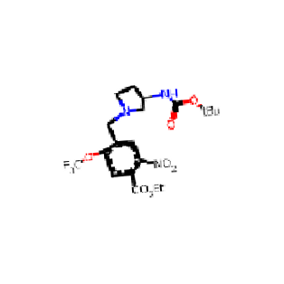 CCOC(=O)c1cc(OC(F)(F)F)c(CN2CC[C@@H](NC(=O)OC(C)(C)C)C2)cc1[N+](=O)[O-]